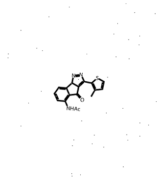 CC(=O)Nc1cccc2c1C(=O)C1=C(c3sccc3C)N=NC12